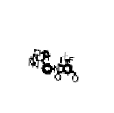 Cn1cnnc1[C@@H](c1cccc(N2Cc3c(cc(C=O)cc3C(F)(F)F)C2=O)c1)C1CCC1